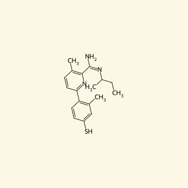 CCC(C)/N=C(/N)c1nc(-c2ccc(S)cc2C)ccc1C